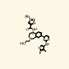 Cc1c(Nc2nccc(-c3ccc4c(c3)CN(CCO)CC[C@@H]4NC(=O)c3cn(C(C)(C)C)nn3)n2)cnn1C